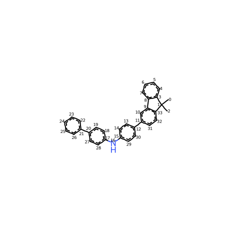 CC1(C)c2ccccc2-c2cc(-c3ccc(Nc4ccc(-c5ccccc5)cc4)cc3)ccc21